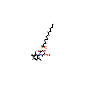 CCCCCCCCCCCC(=O)SCC(=O)N(CC(=O)O)c1c(C)ccc(C)c1C